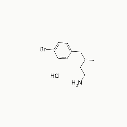 CC(CCN)Cc1ccc(Br)cc1.Cl